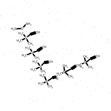 C#C[Si](C)(C)C.C#C[Si](C)(C)C.C#C[Si](C)(C)C.C#C[Si](C)(C)C.C#C[Si](C)(C)C.C#C[Si](C)(C)C.[SiH3]O[SiH3]